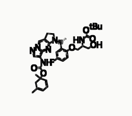 CC1=CC=CC(C)(OC(=O)Nc2cnn3cc4c(nc23)N([C@H](C)c2cc(F)ccc2OCC(CO)NC(=O)OC(C)(C)C)CC4)C1